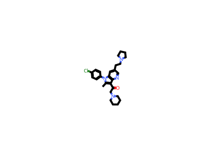 Cc1c(C(=O)CN2CCCCC2)c2ncc(CCN3CCCC3)cc2n1-c1ccc(Cl)cc1